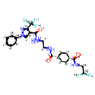 O=C(NCCNC(=O)[C@H]1CC[C@H](C(=O)NCC(F)F)CC1)c1cn(-c2ccccc2)nc1C(F)(F)F